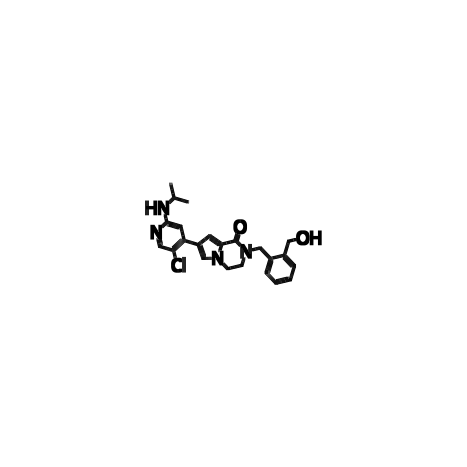 CC(C)Nc1cc(-c2cc3n(c2)CCN(Cc2ccccc2CO)C3=O)c(Cl)cn1